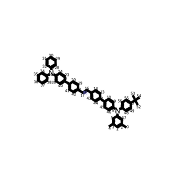 Cc1cc(C)cc(N(c2ccc(-c3ccc(/C=C/c4ccc(-c5ccc(N(c6ccccc6)c6ccccc6)cc5)cc4)cc3)cc2)c2ccc(C(C)(C)C)cc2)c1